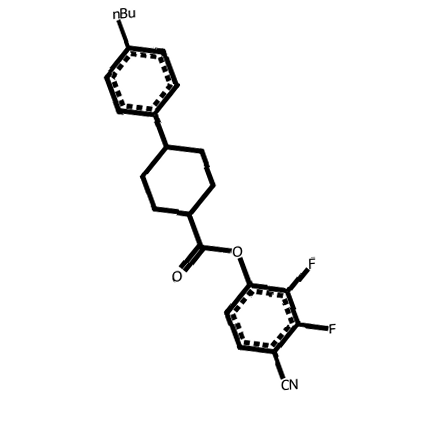 CCCCc1ccc(C2CCC(C(=O)Oc3ccc(C#N)c(F)c3F)CC2)cc1